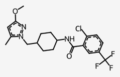 COc1cc(C)n(CC2CCC(NC(=O)c3cc(C(F)(F)F)ccc3Cl)CC2)n1